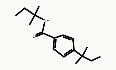 CCC(C)(C)NC(=O)c1ccc(C(C)(C)CC)cc1